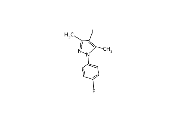 Cc1nn(-c2ccc(F)cc2)c(C)c1I